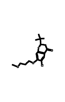 COCCCOc1cc2c(cc1Cl)C(=O)CC(C(C)(C)C)S2